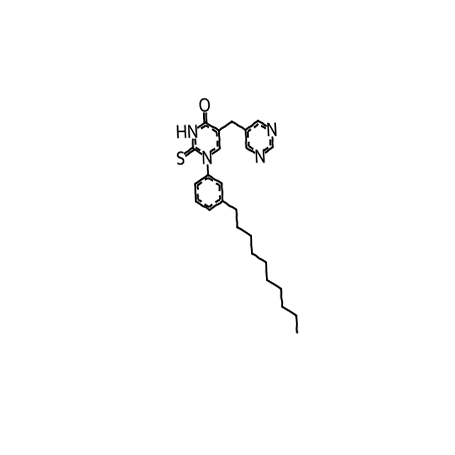 CCCCCCCCCCc1cccc(-n2cc(Cc3cncnc3)c(=O)[nH]c2=S)c1